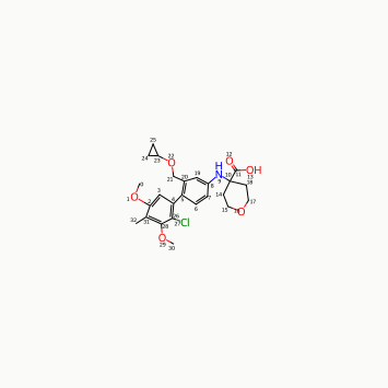 COc1cc(-c2ccc(NC3(C(=O)O)CCOCC3)cc2COC2CC2)c(Cl)c(OC)c1C